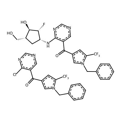 O=C(c1cc(C(F)(F)F)n(Cc2ccccc2)c1)c1cncnc1Cl.O=C(c1cc(C(F)(F)F)n(Cc2ccccc2)c1)c1cncnc1N[C@@H]1C[C@H](CO)[C@@H](O)[C@@H]1F